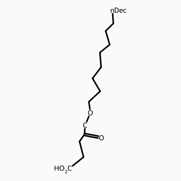 CCCCCCCCCCCCCCCCCCOCC(=O)CCC(=O)O